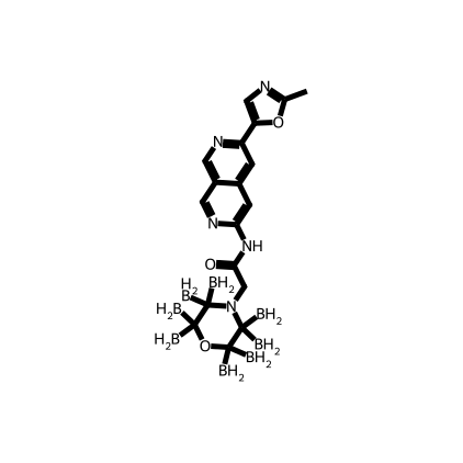 BC1(B)OC(B)(B)C(B)(B)N(CC(=O)Nc2cc3cc(-c4cnc(C)o4)ncc3cn2)C1(B)B